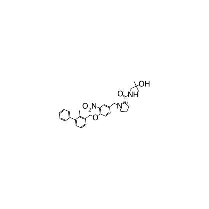 Cc1c(COc2ccc(CN3CCC[C@H]3C(=O)NCC(C)(C)O)cc2[N+](=O)[O-])cccc1-c1ccccc1